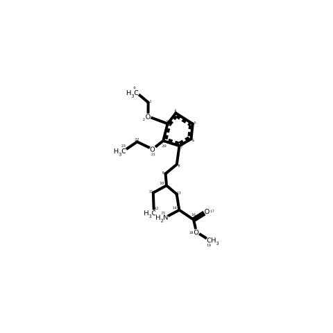 CCOc1cccc(CCC(CC)CC(N)C(=O)OC)c1OCC